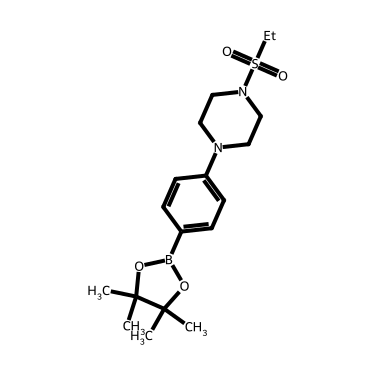 CCS(=O)(=O)N1CCN(c2ccc(B3OC(C)(C)C(C)(C)O3)cc2)CC1